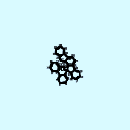 OC1(c2ccccc2-c2ccccc2Br)c2ccccc2-c2ccc3c(c21)Cc1ccccc1-3